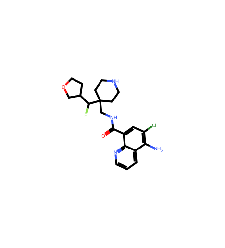 Nc1c(Cl)cc(C(=O)NCC2(C(F)C3CCOC3)CCNCC2)c2ncccc12